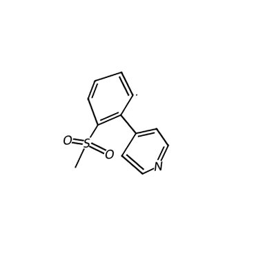 CS(=O)(=O)c1ccc[c]c1-c1ccncc1